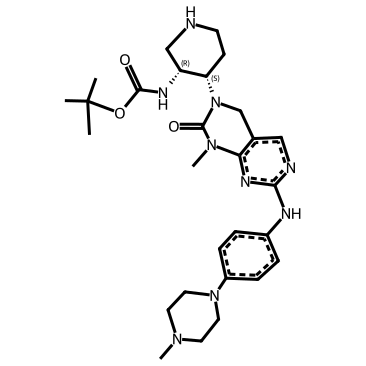 CN1CCN(c2ccc(Nc3ncc4c(n3)N(C)C(=O)N([C@H]3CCNC[C@H]3NC(=O)OC(C)(C)C)C4)cc2)CC1